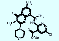 COC(=O)c1cc(Cl)nnc1N[C@H](C)c1cc(C)cc2c(=O)n(C)c(N3CCOCC3)nc12